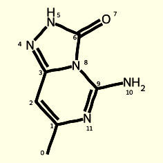 Cc1cc2n[nH]c(=O)n2c(N)n1